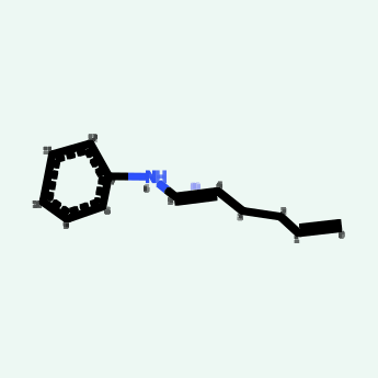 C=CCC/C=C/Nc1ccccc1